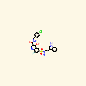 O=C(NCc1ccc(Cl)cc1)c1cnc2c(F)cc(S(=O)(=O)NCCc3c[nH]c4ccccc34)cc2c1O